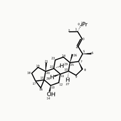 CC(C)[C@@H](C)/C=C/[C@@H](C)[C@H]1CC[C@H]2[C@@H]3C[C@@H](O)C45CC4CC[C@]5(C)[C@H]3CC[C@]12C